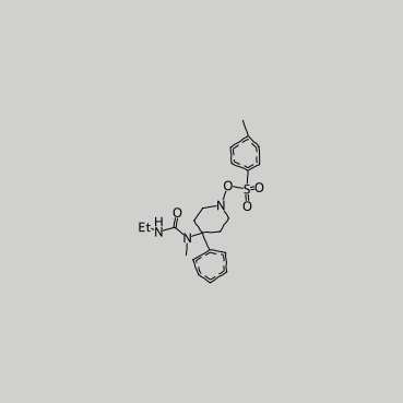 CCNC(=O)N(C)C1(c2ccccc2)CCN(OS(=O)(=O)c2ccc(C)cc2)CC1